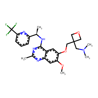 COc1cc2nc(C)nc(N[C@H](C)c3cccc(C(F)(F)F)n3)c2cc1OCC1(CN(C)C)COC1